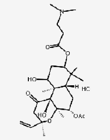 C=C[C@@]1(C)CC(=O)[C@]2(O)[C@@]3(C)C(O)CC(OC(=O)CCN(C)C)C(C)(C)[C@@H]3C[C@H](OC(C)=O)[C@@]2(C)O1.Cl